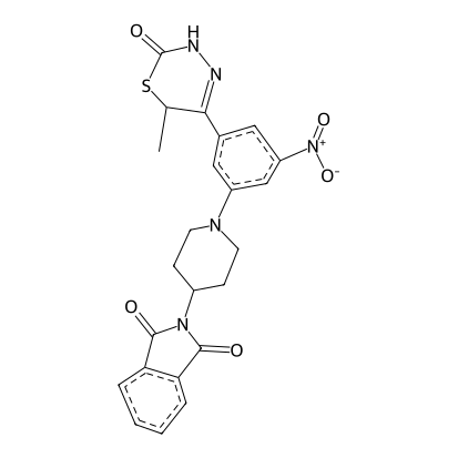 CC1SC(=O)NN=C1c1cc(N2CCC(N3C(=O)c4ccccc4C3=O)CC2)cc([N+](=O)[O-])c1